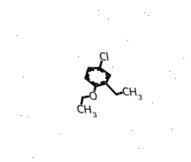 CCOc1ccc(Cl)cc1CC